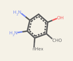 CCCCCCc1c(N)c(N)cc(O)c1C=O